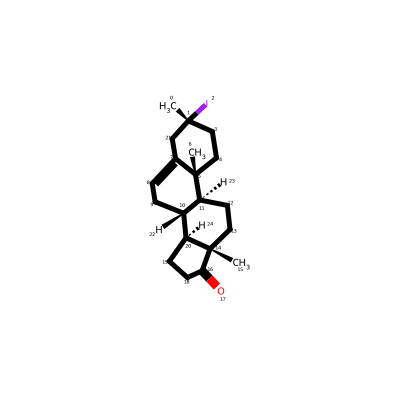 C[C@@]1(I)CC[C@@]2(C)C(=CC[C@@H]3[C@@H]2CC[C@]2(C)C(=O)CC[C@@H]32)C1